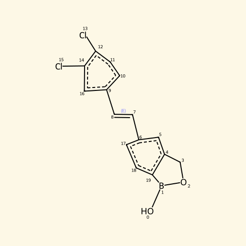 OB1OCc2cc(/C=C/c3ccc(Cl)c(Cl)c3)ccc21